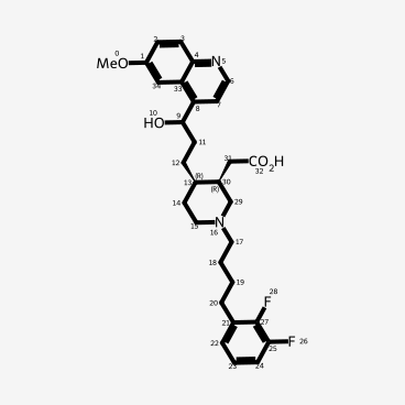 COc1ccc2nccc(C(O)CC[C@@H]3CCN(CCCCc4cccc(F)c4F)C[C@@H]3CC(=O)O)c2c1